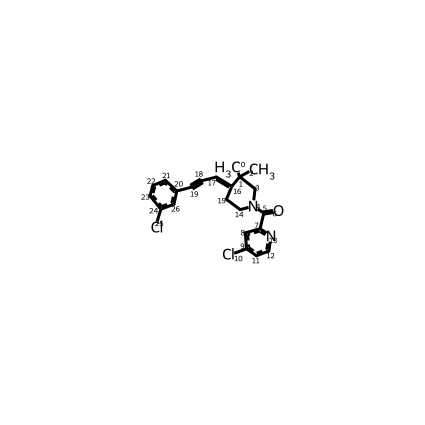 CC1(C)CN(C(=O)c2cc(Cl)ccn2)CC/C1=C\C#Cc1cccc(Cl)c1